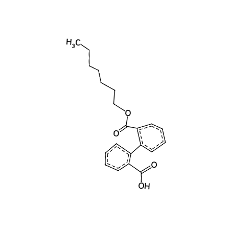 CCCCCCCOC(=O)c1ccccc1-c1ccccc1C(=O)O